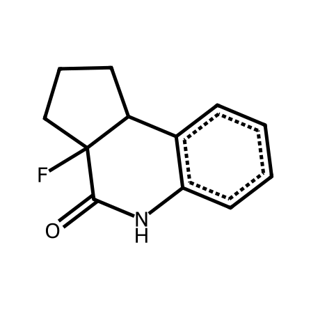 O=C1Nc2ccccc2C2CCCC12F